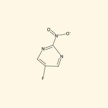 O=[N+]([O-])c1ncc(F)cn1